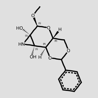 CO[C@H]1O[C@@H]2COC(c3ccccc3)O[C@H]2[C@@]2(O)N[C@@]12O